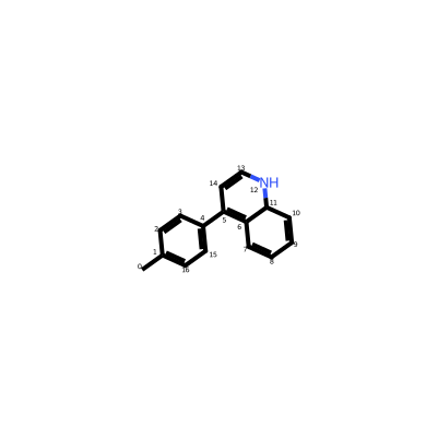 Cc1ccc(C2=C3C=CC=CC3NC=C2)cc1